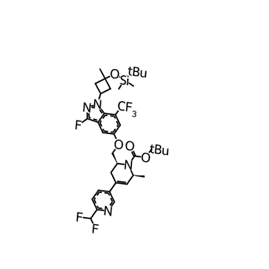 C[C@H]1C=C(c2ccc(C(F)F)nc2)C[C@@H](COc2cc(C(F)(F)F)c3c(c2)c(F)nn3C2CC(C)(O[Si](C)(C)C(C)(C)C)C2)N1C(=O)OC(C)(C)C